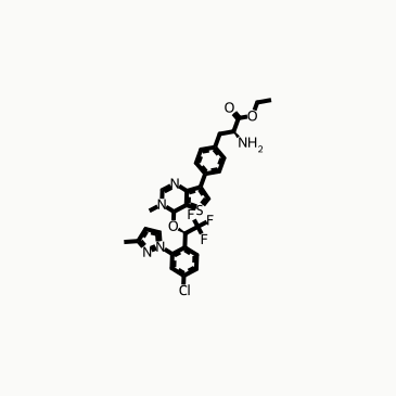 CCOC(=O)[C@@H](N)Cc1ccc(-c2csc3c2N=CN(C)C3O[C@H](c2ccc(Cl)cc2-n2ccc(C)n2)C(F)(F)F)cc1